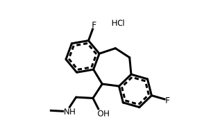 CNCC(O)C1c2ccc(F)cc2CCc2c(F)cccc21.Cl